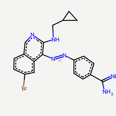 N=C(N)c1ccc(/N=N/c2c(NCC3CC3)ncc3ccc(Br)cc23)cc1